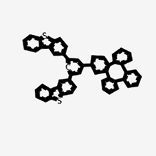 c1ccc2c(c1)-c1ccccc1-c1ccc(-c3cc(-c4ccc5sc6ccccc6c5c4)cc(-c4ccc5sc6ccccc6c5c4)c3)cc1-c1ccccc1-2